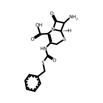 NC1C(=O)N2C(C(=O)O)=C(NC(=O)SCc3ccccc3)CS[C@H]12